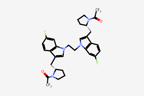 O=C(N1CCC[C@H]1Cc1cn(CCn2cc(C[C@@H]3CCCN3C(=O)C(F)(F)F)c3ccc(F)cc32)c2cc(F)ccc12)C(F)(F)F